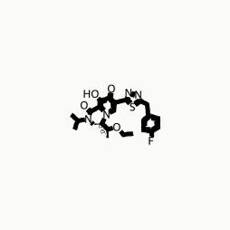 CCO[C@@H](C)[C@@H]1CN(C(C)C)C(=O)c2c(O)c(=O)c(-c3nnc(Cc4ccc(F)cc4)s3)cn21